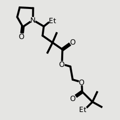 CCC(CC(C)(C)C(=O)OCCOC(=O)C(C)(C)CC)N1CCCC1=O